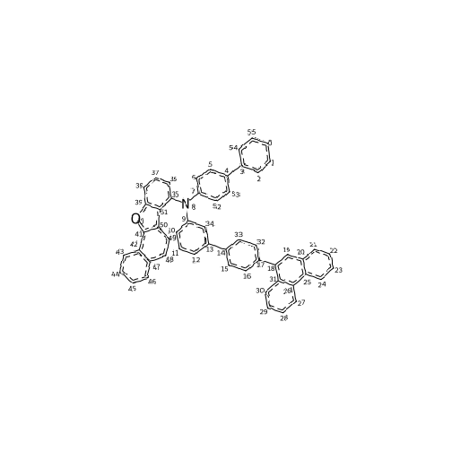 c1ccc(-c2ccc(N(c3cccc(-c4ccc(-c5cc6ccccc6c6ccccc56)cc4)c3)c3cccc4oc5c6ccccc6ccc5c34)cc2)cc1